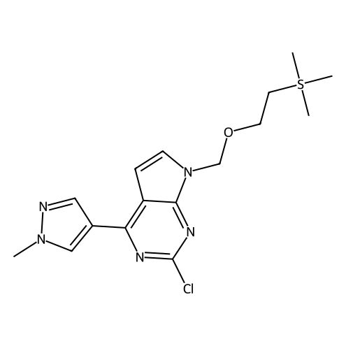 Cn1cc(-c2nc(Cl)nc3c2ccn3COCCS(C)(C)C)cn1